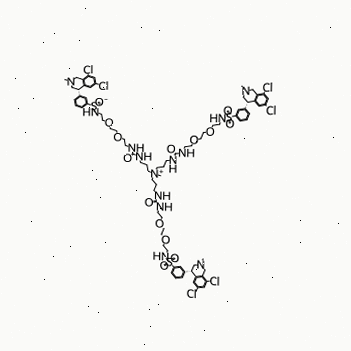 CN1Cc2c(Cl)cc(Cl)cc2[C@H](c2cccc([S+]([O-])NCCOCCOCCNC(=O)NCCC[N+](C)(CCCNC(=O)NCCOCCOCCNS(=O)(=O)c3cccc([C@@H]4CN(C)Cc5c(Cl)cc(Cl)cc54)c3)CCCNC(=O)NCCOCCOCCNS(=O)(=O)c3cccc([C@@H]4CN(C)Cc5c(Cl)cc(Cl)cc54)c3)c2)C1